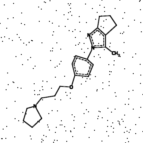 Cc1c2c(nn1-c1ccc(OCCCN3CCCC3)cc1)CCC2